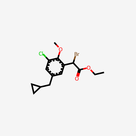 CCOC(=O)C(Br)c1cc(CC2CC2)cc(Cl)c1OC